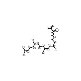 C=C(C)C(=O)OCCCC(C)CCC(C)CCCC(C)CCCC(C)C